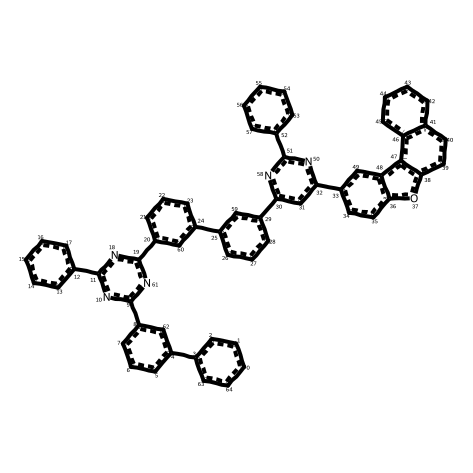 c1ccc(-c2cccc(-c3nc(-c4ccccc4)nc(-c4cccc(-c5cccc(-c6cc(-c7ccc8oc9ccc%10ccccc%10c9c8c7)nc(-c7ccccc7)n6)c5)c4)n3)c2)cc1